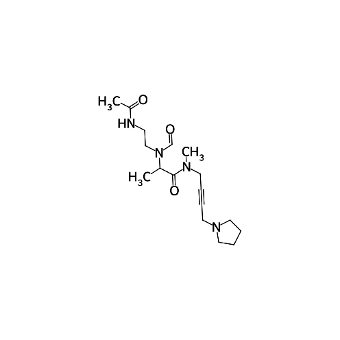 CC(=O)NCCN(C=O)C(C)C(=O)N(C)CC#CCN1CCCC1